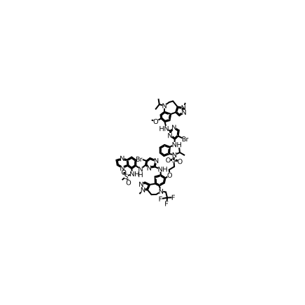 COc1cc2c(cc1Nc1ncc(Br)c(Nc3ccccc3N(C(C)C)S(=O)(=O)CCOc3cc4c(cc3Nc3ncc(Br)c(Nc5ccc6nccnc6c5NS(C)(=O)=O)n3)-c3cnn(C)c3CCN4CC(F)(F)F)n1)-c1cnn(C)c1CCN2C(C)C